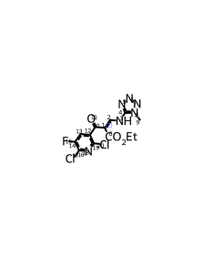 CCOC(=O)/C(=C\Nc1nnnn1C)C(=O)c1cc(F)c(Cl)nc1Cl